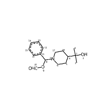 CC(C)(O)C1CCN(C(OC=O)c2ccccc2)CC1